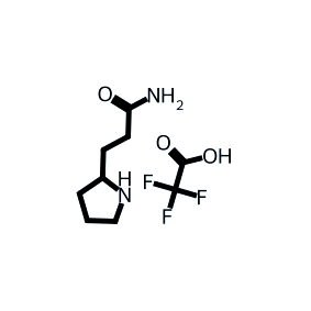 NC(=O)CCC1CCCN1.O=C(O)C(F)(F)F